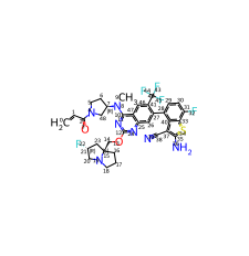 C=CC(=O)N1CC[C@@H](N(C)c2nc(OC[C@@]34CCCN3C[C@H](F)C4)nc3cc(-c4ccc(F)c5sc(N)c(C#N)c45)c(C(F)(F)F)cc23)C1